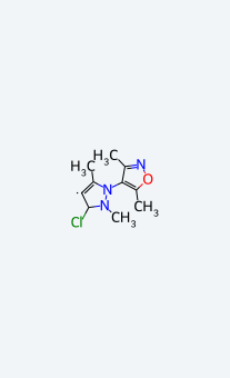 CC1=[C]C(Cl)N(C)N1c1c(C)noc1C